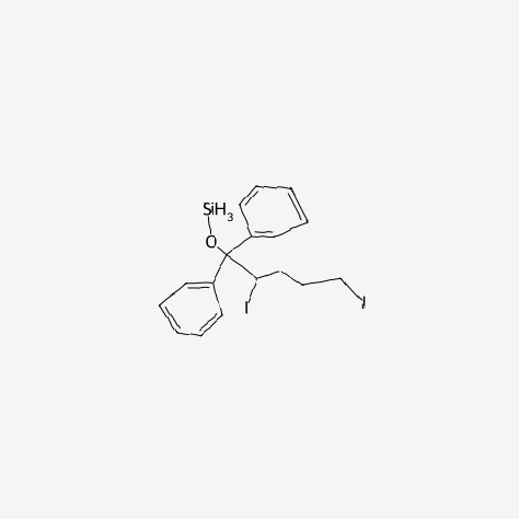 [SiH3]OC(c1ccccc1)(c1ccccc1)C(I)CCCI